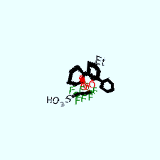 CCc1cc(C2CCCCC2)c(OS(=O)(=O)C(F)(F)C(F)(F)C(F)(F)S(=O)(=O)O)c(C2CCCCC2)c1